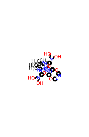 CC(C)(C)c1cc(N(C(=O)Nc2ccc(Oc3ccncc3)cc2)N(C(=O)Nc2ccc(Oc3ccncc3)cc2)c2cc(C(C)(C)C)nn2-c2cccc(N(CCO)CCO)c2)n(-c2cccc(N(CCO)CCO)c2)n1